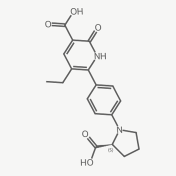 CCc1cc(C(=O)O)c(=O)[nH]c1-c1ccc(N2CCC[C@H]2C(=O)O)cc1